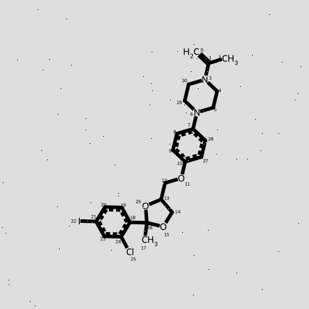 C=C(C)N1CCN(c2ccc(OCC3COC(C)(c4ccc(I)cc4Cl)O3)cc2)CC1